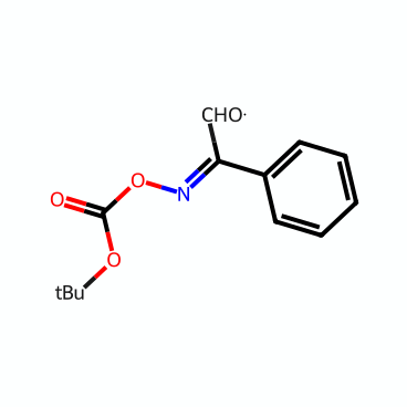 CC(C)(C)OC(=O)ON=C([C]=O)c1ccccc1